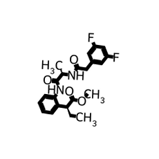 CC[C@H](C(=O)OC)c1ccccc1NC(=O)[C@H](C)NC(=O)Cc1cc(F)cc(F)c1